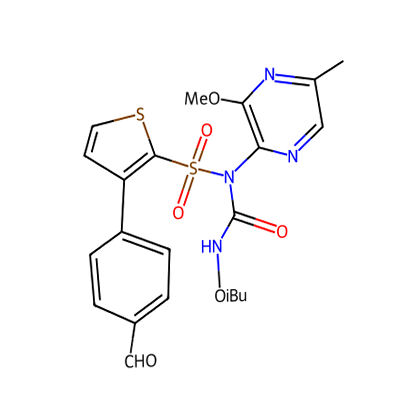 COc1nc(C)cnc1N(C(=O)NOCC(C)C)S(=O)(=O)c1sccc1-c1ccc(C=O)cc1